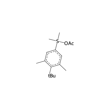 CC(=O)OS(C)(C)c1cc(C)c(C(C)(C)C)c(C)c1